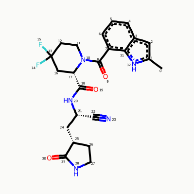 Cc1cc2cccc(C(=O)N3CCC(F)(F)C[C@H]3C(=O)N[C@H](C#N)C[C@@H]3CCNC3=O)c2[nH]1